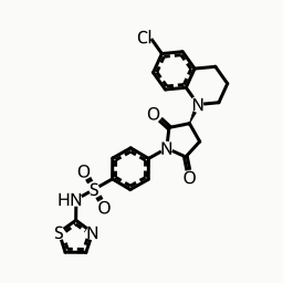 O=C1C[C@H](N2CCCc3cc(Cl)ccc32)C(=O)N1c1ccc(S(=O)(=O)Nc2nccs2)cc1